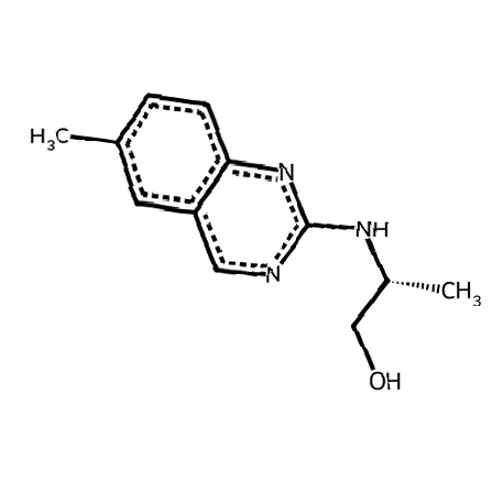 Cc1ccc2nc(N[C@H](C)CO)ncc2c1